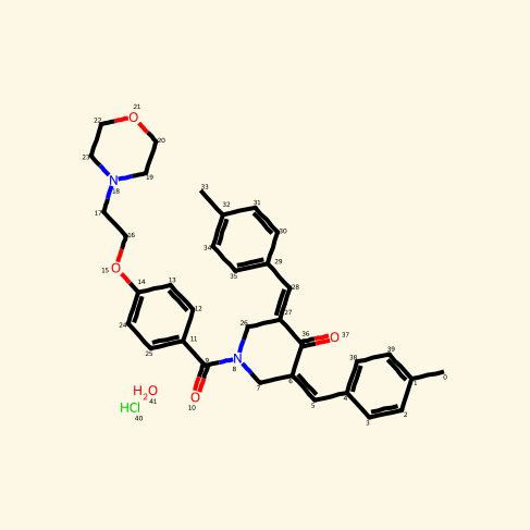 Cc1ccc(/C=C2/CN(C(=O)c3ccc(OCCN4CCOCC4)cc3)C/C(=C\c3ccc(C)cc3)C2=O)cc1.Cl.O